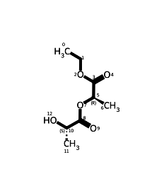 CCOC(=O)[C@@H](C)OC(=O)[C@H](C)O